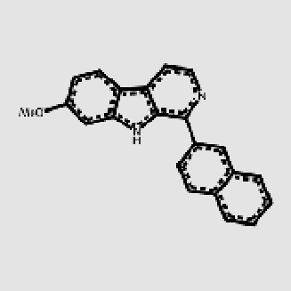 COc1ccc2c(c1)[nH]c1c(-c3ccc4ccccc4c3)nccc12